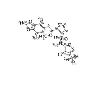 [2H]c1c(C)c(CC(=O)c2sccc2S(=O)(=O)N([2H])c2onc(C([2H])([2H])[2H])c2Cl)c([2H])c2c1OC([2H])O2